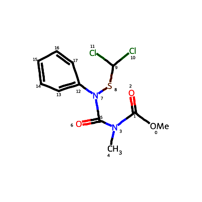 COC(=O)N(C)C(=O)N(SC(Cl)Cl)c1ccccc1